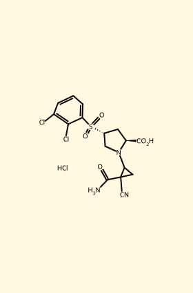 Cl.N#CC1(C(N)=O)CC1N1C[C@H](S(=O)(=O)c2cccc(Cl)c2Cl)C[C@H]1C(=O)O